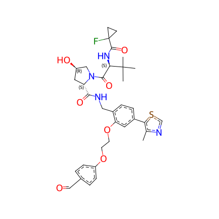 Cc1ncsc1-c1ccc(CNC(=O)[C@@H]2C[C@@H](O)CN2C(=O)[C@@H](NC(=O)C2(F)CC2)C(C)(C)C)c(OCCOc2ccc(C=O)cc2)c1